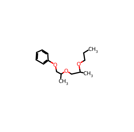 CCCOC(C)COC(C)COc1ccccc1